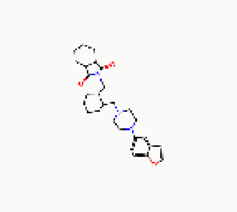 O=C1C2CCCCC2C(=O)N1CC1CCCCC1CN1CCN(c2ccc3occc3c2)CC1